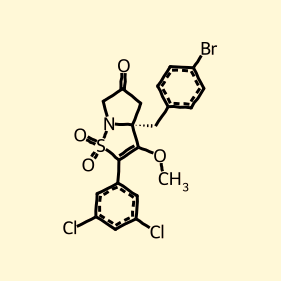 COC1=C(c2cc(Cl)cc(Cl)c2)S(=O)(=O)N2CC(=O)C[C@@]12Cc1ccc(Br)cc1